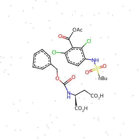 CCCCS(=O)(=O)Nc1ccc(Cl)c(C(=O)OC(C)=O)c1Cl.O=C(O)C[C@H](NC(=O)OCc1ccccc1)C(=O)O